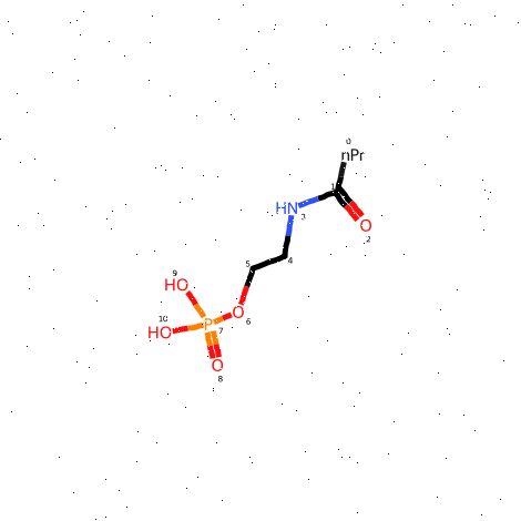 CCCC(=O)NCCOP(=O)(O)O